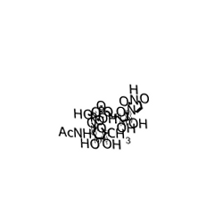 CC(=O)N[C@@H]1[C@@H](OP(=O)(O)OP(=O)(O)OC[C@H]2O[C@@H](n3ccc(=O)[nH]c3=O)[C@H](O)[C@@H]2O)O[C@@H](C)[C@H](O)[C@H]1O